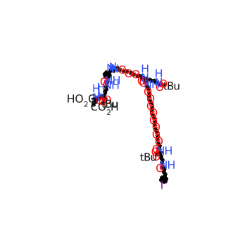 CC(C)(C)OC(=O)NCCCC[C@H](NC(=O)CCOCCOCCOCCn1cc(-c2cccc(NC(=O)NCCCC[C@H](NC(=O)N[C@@H](CCC(=O)O)C(=O)O)C(=O)OC(C)(C)C)c2)nn1)C(=O)NCCOCCOCCOCCOCCOCCOCCOCCOCCC(=O)N[C@@H](CCCCNC(=O)CCCc1ccc(I)cc1)C(=O)OC(C)(C)C